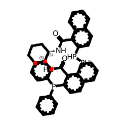 O=C(N[C@H]1CCCC[C@@H]1NC(=O)c1c(P(c2ccccc2)c2ccccc2)ccc2ccccc12)c1c(PP)ccc2ccccc12